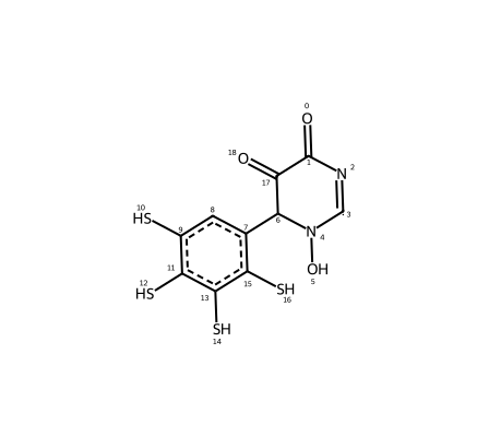 O=C1N=[C]N(O)C(c2cc(S)c(S)c(S)c2S)C1=O